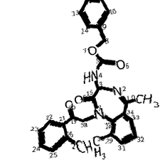 CC1=NC(NC(=O)OCc2ccccc2)C(=O)N(CC(=O)c2ccccc2C)c2c(C)cccc21